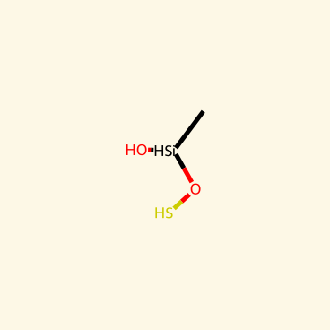 C[SiH](O)OS